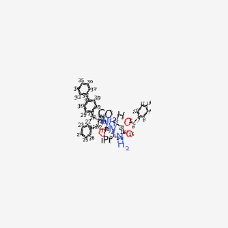 CC(C)CN(CC(OCc1ccccc1)C(N)=O)C(=O)N[C@@](Cc1ccccc1)(Cc1ccc(-c2ccccc2)cc1)C(=O)O